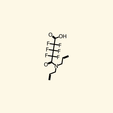 C=CCN(CC=C)C(=O)C(F)(F)C(F)(F)C(F)(F)C(=O)O